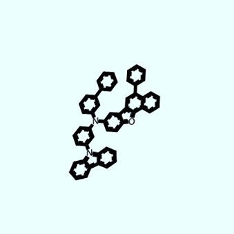 c1ccc(-c2cccc(N(c3cccc(-n4c5ccccc5c5ccccc54)c3)c3ccc4oc5c6ccccc6c(-c6ccccc6)cc5c4c3)c2)cc1